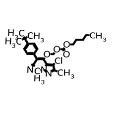 CCCCCOC(=O)OCO/C(=C(/C#N)c1ccc(C(C)(C)C)cc1)c1c(Cl)c(C)nn1C